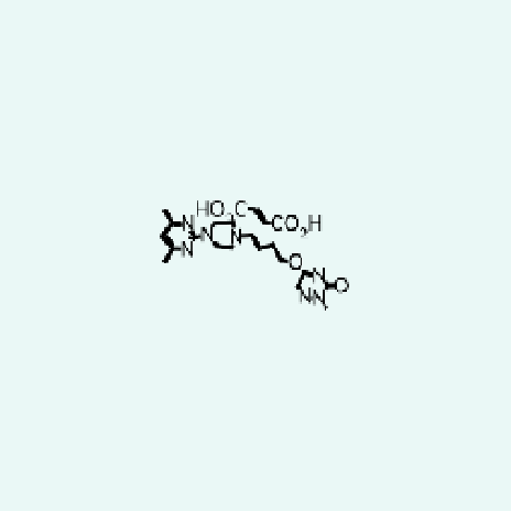 Cc1cc(C)nc(N2CCN(CCCCOc3cnn(C)c(=O)n3)CC2)n1.O=C(O)C=CC(=O)O